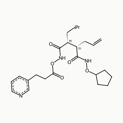 C=CC[C@H](C(=O)NOC1CCCC1)[C@@H](CC(C)C)C(=O)NOC(=O)CCc1cccnc1